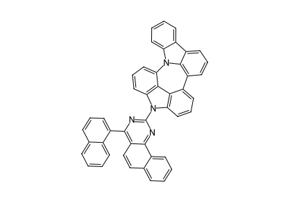 c1ccc2c(-c3nc(-n4c5cccc6c7cccc8c9ccccc9n(c9cccc4c9c65)c78)nc4c3ccc3ccccc34)cccc2c1